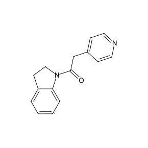 O=C(Cc1ccncc1)N1CCc2cc[c]cc21